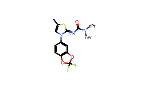 CCCN(CCC)C(=O)/N=c1\sc(C)cn1-c1ccc2c(c1)OC(F)(F)O2